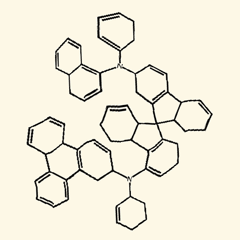 C1=CCCC(N(C2=C3C=CC=CC3CC=C2)C2C=CC3=C(C2)C2(C4=C(C(N(C5C=CCCC5)C5C=CC6=C(C5)c5ccccc5C5C=CC=CC65)=CCC4)C4CCC=CC42)C2CCC=CC32)=C1